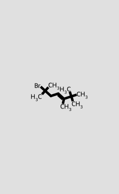 C/C(=C\CC(C)(C)Br)C(C)(C)C